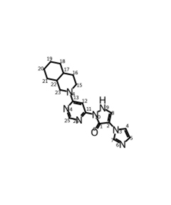 O=c1c(-n2ccnc2)c[nH]n1-c1cc(N2CCC3CCCCC3C2)ncn1